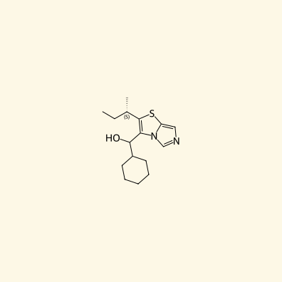 CC[C@H](C)c1sc2cncn2c1C(O)C1CCCCC1